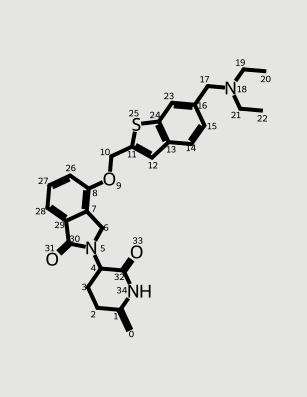 C=C1CCC(N2Cc3c(OCc4cc5ccc(CN(CC)CC)cc5s4)cccc3C2=O)C(=O)N1